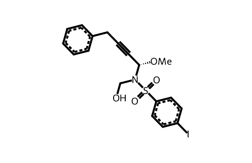 CO[C@@H](C#CCc1ccccc1)N(CO)S(=O)(=O)c1ccc(I)cc1